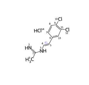 CC(=N)N/C=C/c1ccc(Cl)c(Cl)c1.Cl